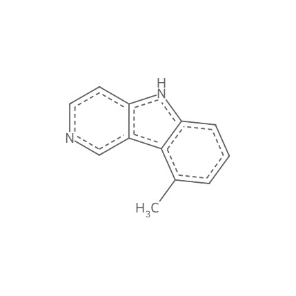 Cc1cccc2[nH]c3ccncc3c12